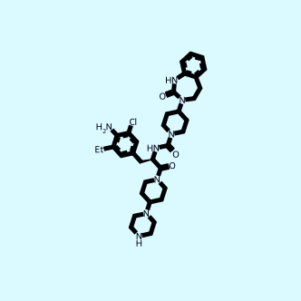 CCc1cc(C[C@@H](NC(=O)N2CCC(N3CCc4ccccc4NC3=O)CC2)C(=O)N2CCC(N3CCNCC3)CC2)cc(Cl)c1N